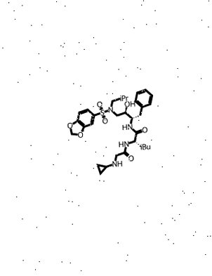 CCC(C)[C@H](NC(=O)CNC1CC1)C(=O)N[C@@H](Cc1ccccc1)[C@H](O)CN(CC(C)C)S(=O)(=O)c1ccc2c(c1)OCO2